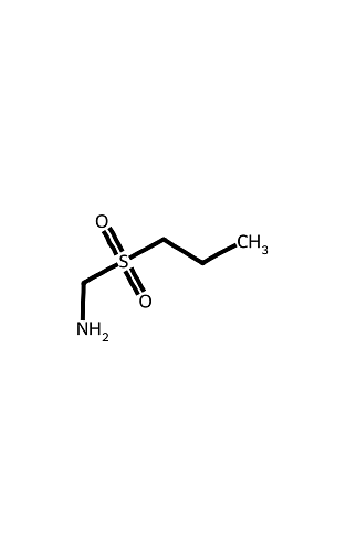 CCCS(=O)(=O)CN